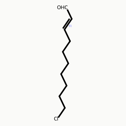 O=C/C=C/CCCCCCCCl